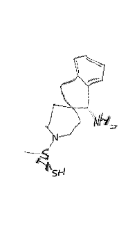 C[SH](S)N1CCC2(CC1)Cc1ccccc1[C@@H]2N